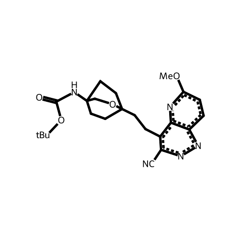 COc1ccc2nnc(C#N)c(CCC34CCC(NC(=O)OC(C)(C)C)(CC3)CO4)c2n1